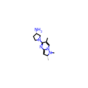 CC1=CN2C(=C[C@@H](C)N2C)N=C1N1CC[C@H](N)C1